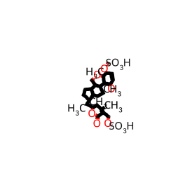 CC1=C(COS(=O)(=O)O)C(=O)OC([C@@H](C)C2CCC3C4CO[C@@]5(C)[C@@H](OS(=O)(=O)O)C=CC(=O)[C@]5(C)C4CC[C@@]32C)C1